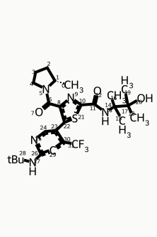 C[C@H]1CCCN1C(=O)c1nc(C(=O)NC(C)(C)C(C)(C)O)sc1-c1cnc(NC(C)(C)C)cc1C(F)(F)F